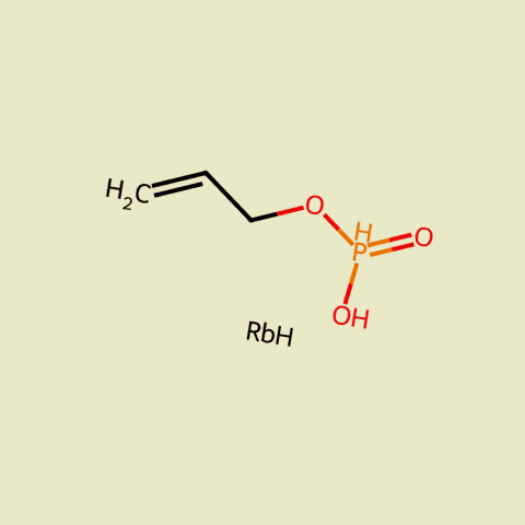 C=CCO[PH](=O)O.[RbH]